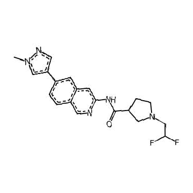 Cn1cc(-c2ccc3cnc(NC(=O)C4CCN(CC(F)F)C4)cc3c2)cn1